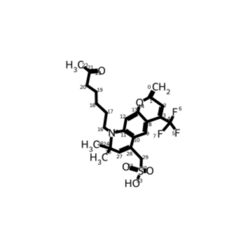 C=C1C=C(C(F)(F)F)c2cc3c(cc2O1)N(CCCCCC(C)=O)C(C)(C)C=C3CS(=O)(=O)O